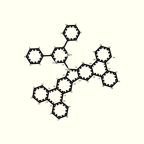 c1ccc(-c2cc(-c3ccccc3)nc(-n3c4cc5c6ccccc6c6ccccc6c5cc4c4cc5c6ccccc6c6ccccc6c5cc43)n2)cc1